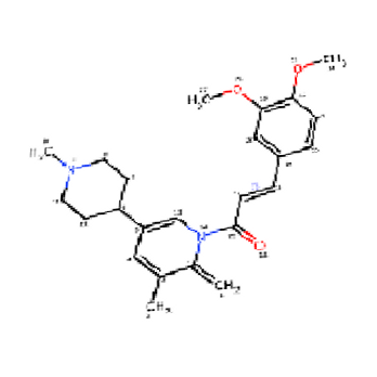 C=C1C(C)=CC(C2CCN(C)CC2)=CN1C(=O)/C=C/c1ccc(OC)c(OC)c1